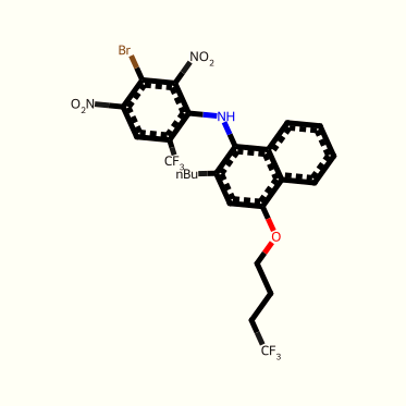 CCCCc1cc(OCCCC(F)(F)F)c2ccccc2c1Nc1c(C(F)(F)F)cc([N+](=O)[O-])c(Br)c1[N+](=O)[O-]